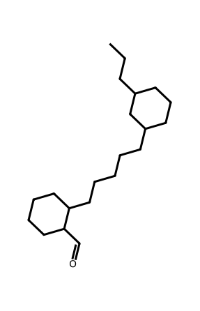 CCCC1CCCC(CCCCCC2CCCCC2C=O)C1